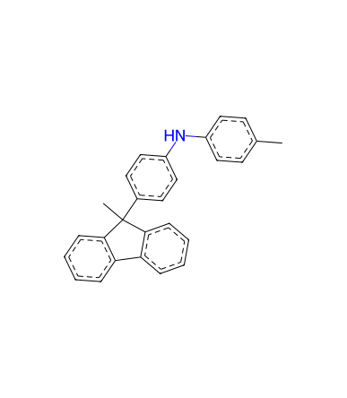 Cc1ccc(Nc2ccc(C3(C)c4ccccc4-c4ccccc43)cc2)cc1